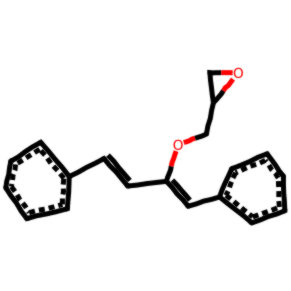 C(=Cc1ccccc1)C(=Cc1ccccc1)OCC1CO1